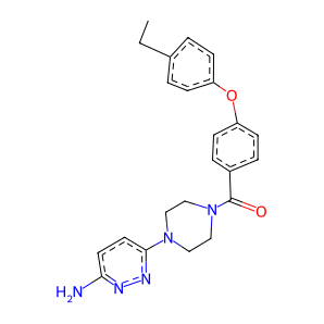 CCc1ccc(Oc2ccc(C(=O)N3CCN(c4ccc(N)nn4)CC3)cc2)cc1